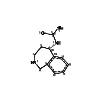 CC(C)(C)[S+]([O-])N[C@H]1CCNCc2ccccc21